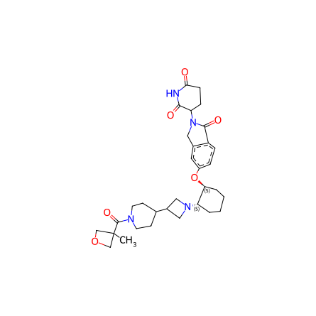 CC1(C(=O)N2CCC(C3CN([C@H]4CCCC[C@@H]4Oc4ccc5c(c4)CN(C4CCC(=O)NC4=O)C5=O)C3)CC2)COC1